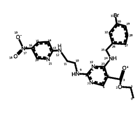 CCOC(=O)c1cnc(NCCNc2ccc([N+](=O)[O-])cn2)nc1NCc1cccc(Br)c1